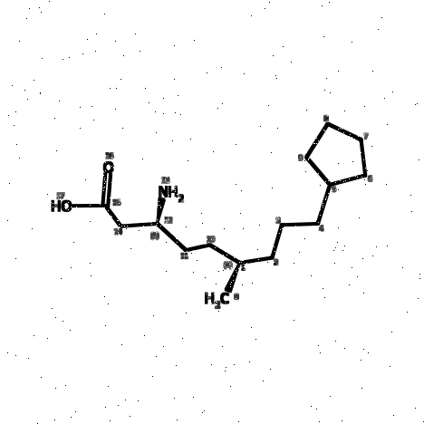 C[C@H](CCCC1CCCC1)CC[C@H](N)CC(=O)O